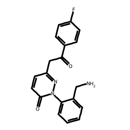 NCc1ccccc1-n1nc(CC(=O)c2ccc(F)cc2)ccc1=O